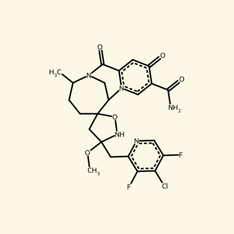 COC1(Cc2ncc(F)c(Cl)c2F)CC2(CCC(C)N3CC2n2cc(C(N)=O)c(=O)cc2C3=O)ON1